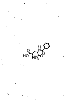 NC(CC(NC(=O)c1ccccc1)C(=O)O)C(=O)O